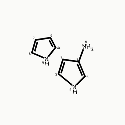 Nc1cc[nH]c1.c1cc[nH]c1